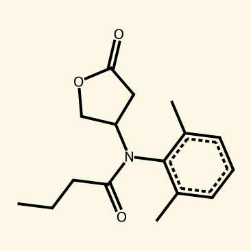 CCCC(=O)N(c1c(C)cccc1C)C1COC(=O)C1